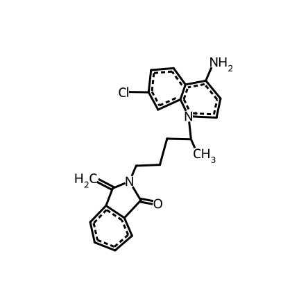 C=C1c2ccccc2C(=O)N1CCCC(C)[n+]1ccc(N)c2ccc(Cl)cc21